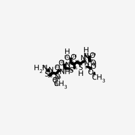 CCOC(=O)Cn1c(C(S)=CC2=C(C(=O)O)N3C(=O)C(NC(=O)C(=NOC)c4csc(N)n4)C3SC2)n[nH]c(=O)c1=O